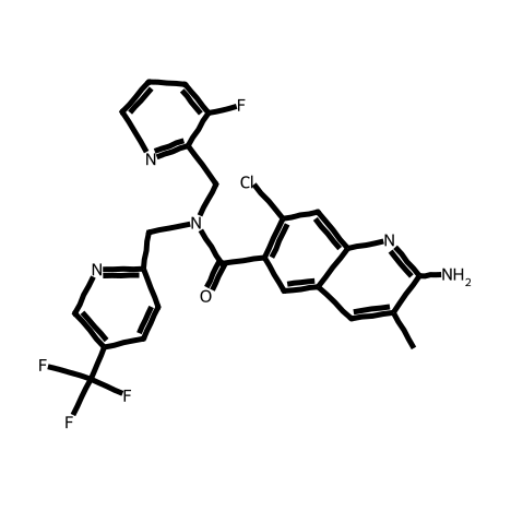 Cc1cc2cc(C(=O)N(Cc3ccc(C(F)(F)F)cn3)Cc3ncccc3F)c(Cl)cc2nc1N